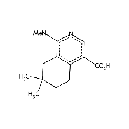 CNc1ncc(C(=O)O)c2c1CC(C)(C)CC2